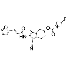 N#Cc1c(NC(=O)C=Cc2ccco2)sc2c1CCC(OC(=O)N1CC(F)C1)C2